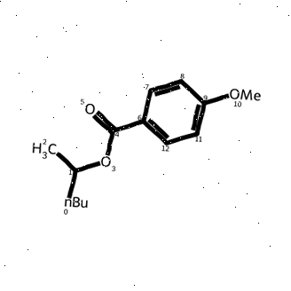 CCCCC(C)OC(=O)c1ccc(OC)cc1